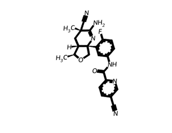 C[C@@H]1OC[C@@]2(c3cc(NC(=O)c4ccc(C#N)cn4)ccc3F)N=C(N)[C@@](C)(C#N)C[C@@H]12